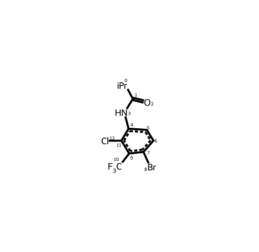 CC(C)C(=O)Nc1ccc(Br)c(C(F)(F)F)c1Cl